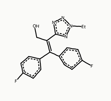 CCn1nnc(C(CO)=C(c2ccc(F)cc2)c2ccc(F)cc2)n1